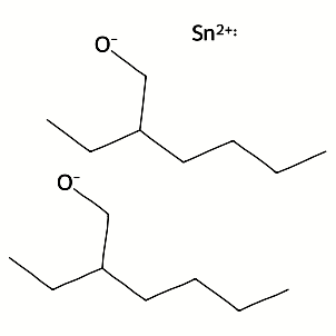 CCCCC(CC)C[O-].CCCCC(CC)C[O-].[Sn+2]